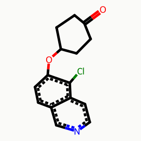 O=C1CCC(Oc2ccc3cnccc3c2Cl)CC1